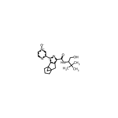 CC(C)(C)C(CO)NC(=O)c1nn(-c2c[n+]([O-])ccn2)c2c1CC13CCCC21C3